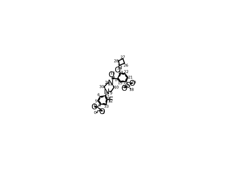 CS(=O)(=O)c1ccc(N2CCN(C(=O)c3cc(S(C)(=O)=O)ccc3OC3CCC3)CC2)c(F)c1